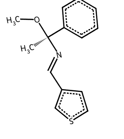 CO[C@](C)(N=Cc1ccsc1)c1ccccc1